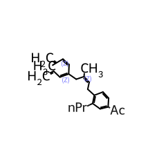 C=C/C=C(\C=C/C(=C)C)C/C(C)=C\Cc1ccc(C(C)=O)cc1CCC